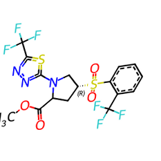 COC(=O)C1C[C@@H](S(=O)(=O)c2ccccc2C(F)(F)F)CN1c1nnc(C(F)(F)F)s1